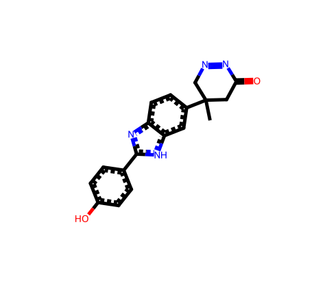 CC1(c2ccc3nc(-c4ccc(O)cc4)[nH]c3c2)CN=NC(=O)C1